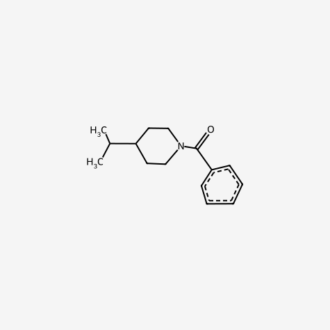 CC(C)C1CCN(C(=O)c2ccccc2)CC1